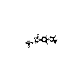 CC(=O)NC[C@H]1CN(c2cc(F)c(N3CC(F)C4(CC4)C3)c(F)c2)C(=O)O1